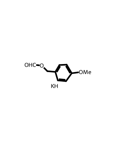 COc1ccc(COC=O)cc1.[KH]